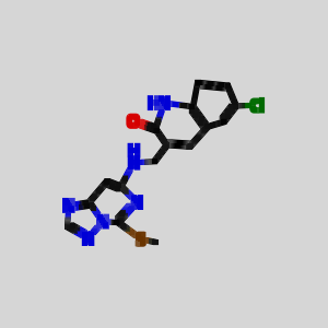 CSc1nc(NCc2cc3cc(Cl)ccc3[nH]c2=O)cc2ncnn12